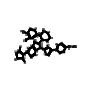 CC(=O)Nc1ccc(-c2csc(-n3c([C@@H]4CCCON4c4ccc(F)c(F)c4)nc4cc(-c5c(C)noc5C)ccc43)n2)cc1